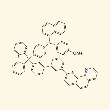 COc1ccc(N(c2ccc(C3(c4cccc(-c5cccc(-c6ccc7ccc8cccnc8c7n6)c5)c4)c4ccccc4-c4ccccc43)cc2)c2cccc3ccccc23)cc1